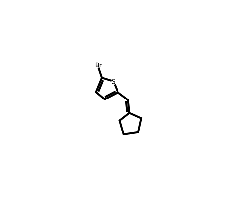 Brc1ccc(C=C2CCCC2)s1